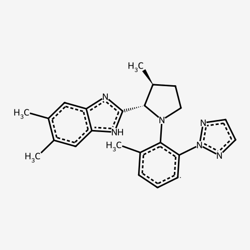 Cc1cc2nc([C@@H]3[C@@H](C)CCN3c3c(-n4nccn4)[c]ccc3C)[nH]c2cc1C